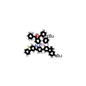 CC(C)(C)c1ccc(Nc2cc3c(cc2-c2ccc4c5cc6c(cc5n5c4c2Bc2cc4c(-c7ccccc7)oc(-c7ccccc7)c4cc2-5)sc2ccccc26)-c2ccc(C(C)(C)C)cc2C3(C)C)cc1